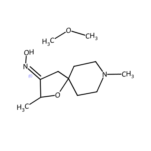 CC1OC2(CCN(C)CC2)C/C1=N\O.COC